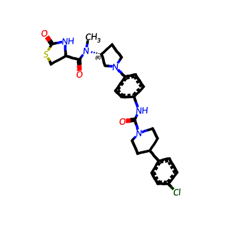 CN(C(=O)C1CSC(=O)N1)[C@@H]1CCN(c2ccc(NC(=O)N3CCC(c4ccc(Cl)cc4)CC3)cc2)C1